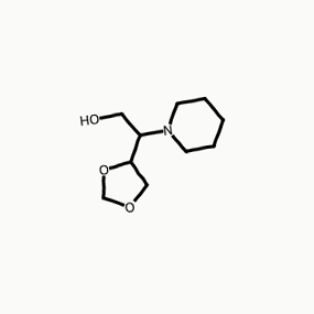 OCC(C1COCO1)N1CCCCC1